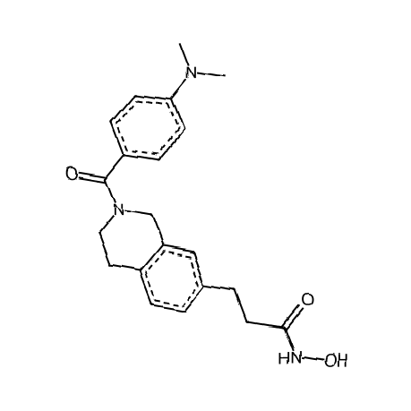 CN(C)c1ccc(C(=O)N2CCc3ccc(CCC(=O)NO)cc3C2)cc1